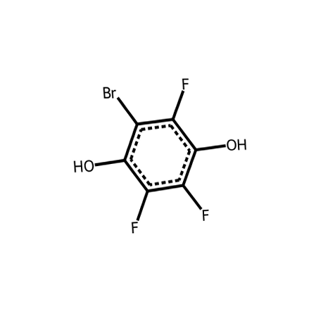 Oc1c(F)c(F)c(O)c(Br)c1F